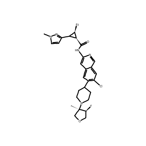 CC[C@@H]1C(c2ccn(C)n2)[C@@H]1C(=O)Nc1cc2cc(C3CCN([C@]4(C)COC[C@@H]4F)CC3)c(Cl)cc2cn1